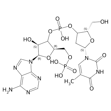 Cc1cn([C@@H]2CC(OP(=O)(O)OC3[C@@H](COP(=O)(O)O)O[C@@H](n4cnc5c(N)ncnc54)[C@H]3O)[C@H](CO)O2)c(=O)[nH]c1=O